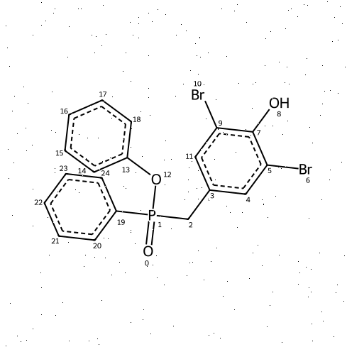 O=P(Cc1cc(Br)c(O)c(Br)c1)(Oc1ccccc1)c1ccccc1